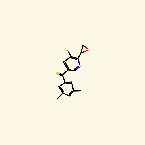 Cc1cc(C)cc(C(=S)c2cnc(C3CO3)c(C(C)C)c2)c1